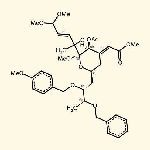 COC(=O)/C=C1\C[C@@H](C[C@@H](OCc2ccc(OC)cc2)[C@@H](C)OCc2ccccc2)O[C@@](OC)(C(C)(C)/C=C/C(OC)OC)[C@H]1OC(C)=O